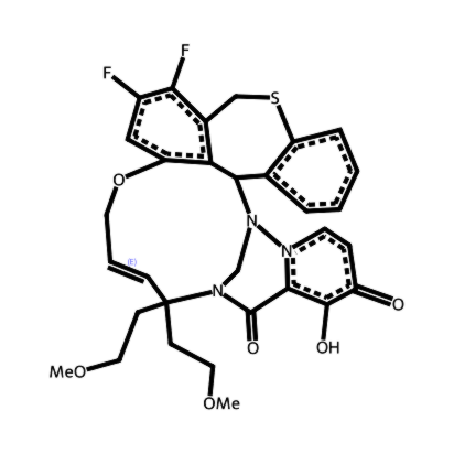 COCCC1(CCOC)/C=C/COc2cc(F)c(F)c3c2C(c2ccccc2SC3)N2CN1C(=O)c1c(O)c(=O)ccn12